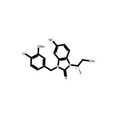 COc1cc(Cn2c(=O)n([C@@H](C)COC(C)=O)c3ccc(C#N)cc32)ccc1Cl